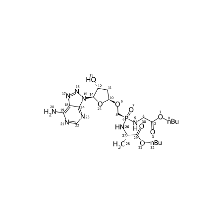 CCCCOC(=O)CN[P@](=O)(CO[C@@H]1C[C@@H](O)[C@H](n2nnc3c(N)ncnc32)O1)N[C@@H](C)C(=O)OCCCC